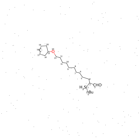 CCCC[SiH2]C([C]=O)CCCCCCCCCCOC1CC[CH]CC1